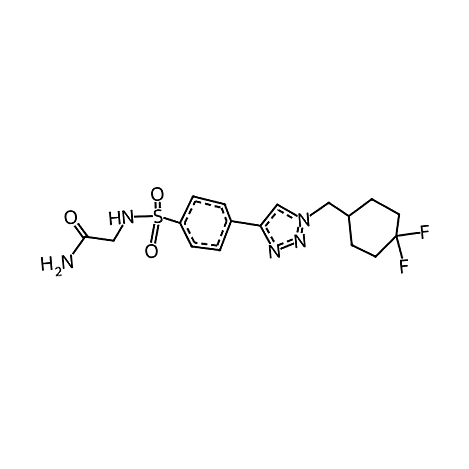 NC(=O)CNS(=O)(=O)c1ccc(-c2cn(CC3CCC(F)(F)CC3)nn2)cc1